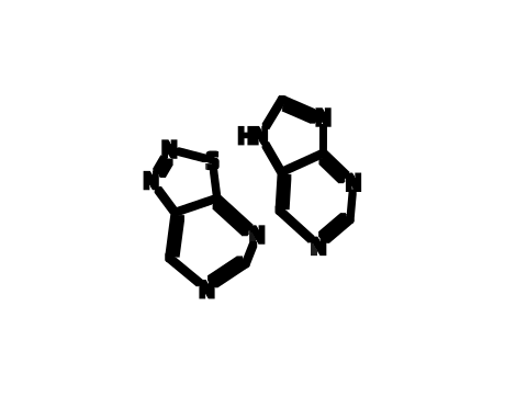 c1ncc2[nH]cnc2n1.c1ncc2nnsc2n1